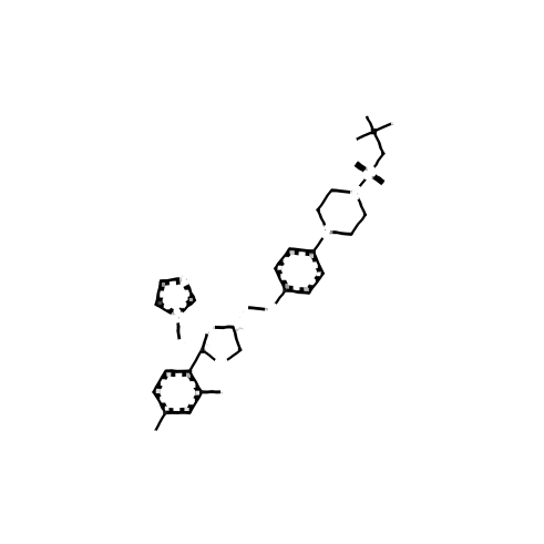 O=S(=O)(CC(F)(F)F)N1CCN(c2ccc(OC[C@@H]3CO[C@@](Cn4ccnc4)(c4ccc(Cl)cc4Cl)O3)cc2)CC1